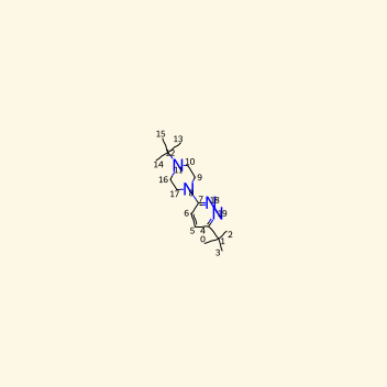 CC(C)(C)c1ccc(N2CCN(C(C)(C)C)CC2)nn1